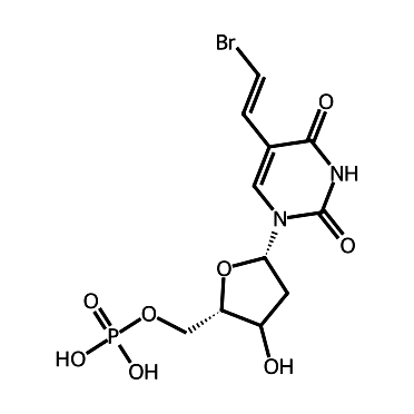 O=c1[nH]c(=O)n([C@@H]2CC(O)[C@H](COP(=O)(O)O)O2)cc1/C=C/Br